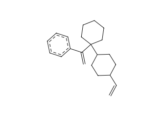 C=CC1CCC(C2(C(=C)c3ccccc3)CCCCC2)CC1